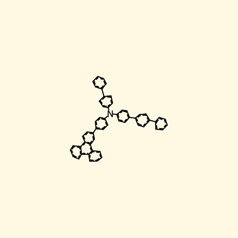 c1ccc(-c2ccc(-c3ccc(N(c4ccc(-c5ccccc5)cc4)c4ccc(-c5ccc6c7ccccc7c7ccccc7c6c5)cc4)cc3)cc2)cc1